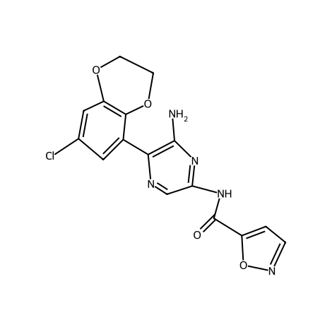 Nc1nc(NC(=O)c2ccno2)cnc1-c1cc(Cl)cc2c1OCCO2